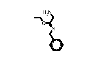 CCOC(CN)=NCc1ccccc1